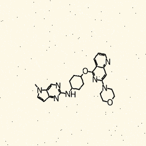 Cn1ccc2nc(NC3CCC(Oc4nc(N5CCOCC5)cc5ncccc45)CC3)ncc21